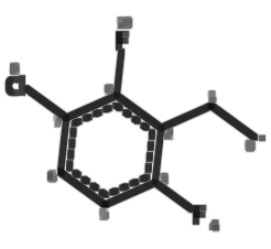 [CH2]Cc1c(F)ccc(Cl)c1F